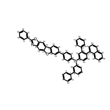 c1ccc(-c2cccc(N(c3ccc(-c4ccc5c(c4)oc4cc6nc(-c7ccccc7)oc6cc45)cc3)c3ccc(-c4cccc5ccccc45)c(-c4ccccc4)c3)c2)cc1